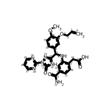 C=CCOc1cc(C(Nc2cc(C(N)=O)ccc2CC(=O)O)c2nn(-c3ncccn3)c(=O)[nH]2)ccc1OC